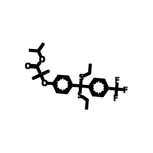 CCSC(SCC)(c1ccc(OC(C)(C)C(=O)OC(C)C)cc1)c1ccc(C(F)(F)F)cc1